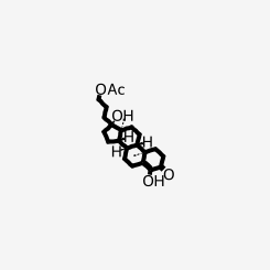 CC(=O)OCCC[C@]1(O)CC[C@H]2[C@@H]3CCC4=C(O)C(=O)CC[C@]4(C)[C@H]3CC[C@@]21C